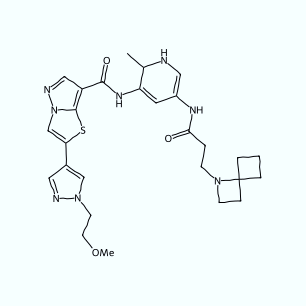 COCCn1cc(-c2cn3ncc(C(=O)NC4=CC(NC(=O)CCN5CCC56CCC6)=CNC4C)c3s2)cn1